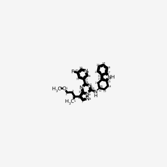 COCCC(C)c1cnn2c(N[C@@H]3CCc4[nH]c5ccccc5c4C3)nc(-c3cncc(F)c3)nc12